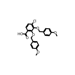 COc1ccc(COc2c(Cl)ccc(C(=O)O)c2OCc2ccc(OC)cc2)cc1